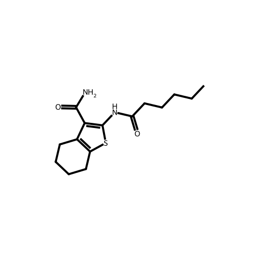 CCCCCC(=O)Nc1sc2c(c1C(N)=O)CCCC2